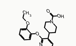 CCOc1ccccc1Oc1ncccc1C1CCN(C(=O)O)CC1